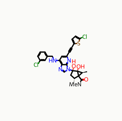 CNC(=O)C12[C@H](C)C[C@](O)(n3cnc4c(NCc5cccc(Cl)c5)cc(C#Cc5ccc(Cl)s5)nc43)[C@]1(O)[C@H]2C